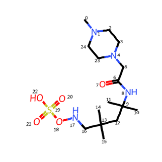 CN1CCN(CC(=O)NC(C)(C)CC(C)(C)CNOS(=O)(=O)O)CC1